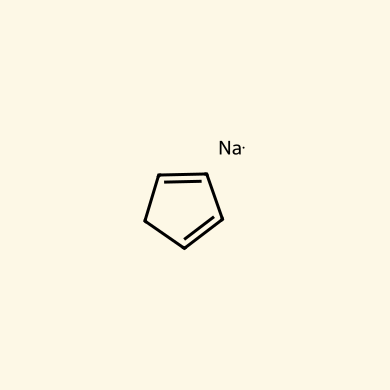 C1=CCC=C1.[Na]